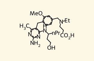 CCCC(CCO)Nc1nc(N)nc(C)c1Cc1ccc(CN(CC)CCC(=O)O)cc1OC